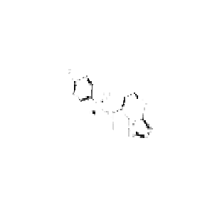 CCc1cc2nccc(NS(=O)(=O)c3ccc(F)cc3)n2n1